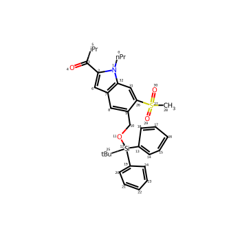 CCCn1c(C(=O)C(C)C)cc2cc(CO[Si](c3ccccc3)(c3ccccc3)C(C)(C)C)c(S(C)(=O)=O)cc21